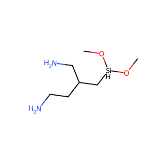 CO[SiH](CC(CN)CCN)OC